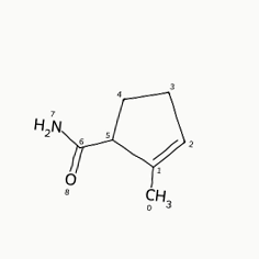 CC1=CCCC1C(N)=O